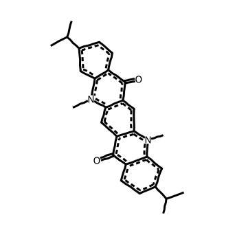 CC(C)c1ccc2c(=O)c3cc4c(cc3n(C)c2c1)c(=O)c1ccc(C(C)C)cc1n4C